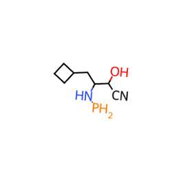 N#CC(O)C(CC1CCC1)NP